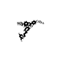 CC(C)COc1ccc(C(Cc2ccc(F)cc2)C(=O)NC2CCN(CCCN3CC(C)CC(C)C3)CC2)cc1.Cl.Cl